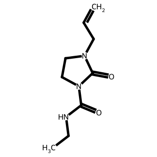 C=CCN1CCN(C(=O)NCC)C1=O